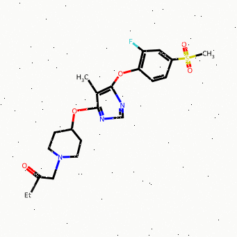 CCC(=O)CN1CCC(Oc2ncnc(Oc3ccc(S(C)(=O)=O)cc3F)c2C)CC1